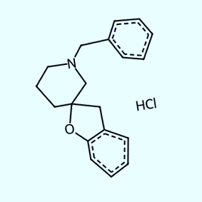 Cl.c1ccc(CN2CCCC3(Cc4ccccc4O3)C2)cc1